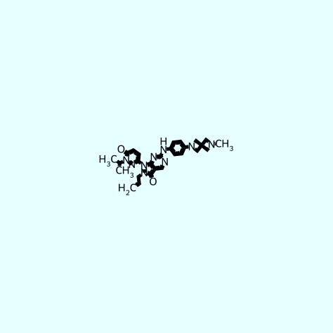 C=CCn1c(=O)c2cnc(Nc3ccc(N4CC5(CN(C)C5)C4)cc3)nc2n1-c1ccc(=O)n(C(C)C)n1